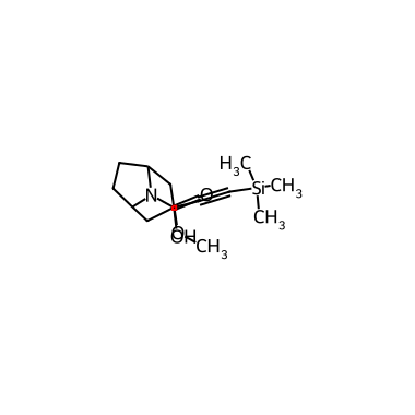 COC(=O)N1C2CCC1CC(O)(C#C[Si](C)(C)C)C2